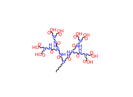 CCCCCCCN(CCC(=O)NCCN(CCC(=O)NCCN(CCC(=O)O)CCC(=O)O)CCC(=O)NCCN(CCC(=O)O)CCC(=O)O)CCC(=O)NCCN(CCC(=O)NCCN(CCC(=O)O)CCC(=O)O)CCC(=O)NCCN(CCC(=O)O)CCC(=O)O